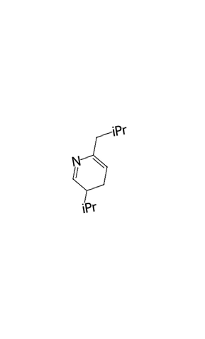 CC(C)CC1=CCC(C(C)C)C=N1